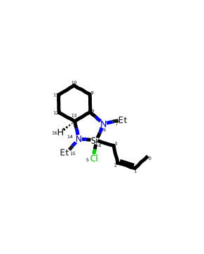 C/C=C\C[Si]1(Cl)N(CC)C2CCCC[C@@H]2N1CC